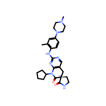 Cc1cc(N2CCN(C)CC2)ccc1Nc1ncc2c(n1)N(C1CCCC1)C(=O)[C@]1(CCNC1=O)C2